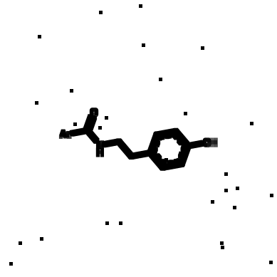 CC(=O)C(=O)NCCc1ccc(O)cc1